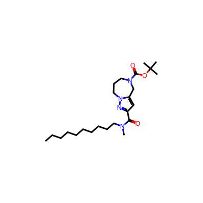 CCCCCCCCCCN(C)C(=O)c1cc2n(n1)CCCN(C(=O)OC(C)(C)C)C2